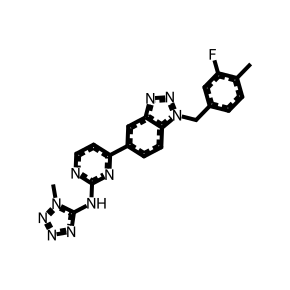 Cc1ccc(Cn2nnc3cc(-c4ccnc(Nc5nnnn5C)n4)ccc32)cc1F